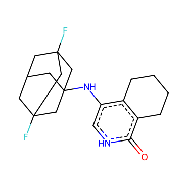 O=c1[nH]cc(NC23CC4CC(F)(CC(F)(C4)C2)C3)c2c1CCCC2